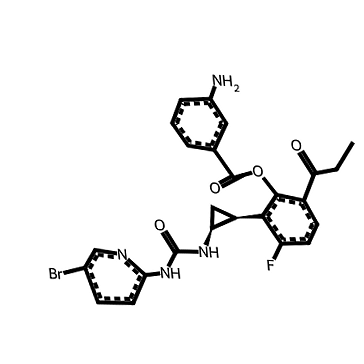 CCC(=O)c1ccc(F)c([C@@H]2C[C@@H]2NC(=O)Nc2ccc(Br)cn2)c1OC(=O)c1cccc(N)c1